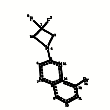 FC1(F)CN(c2cnc3cccc(Br)c3n2)C1